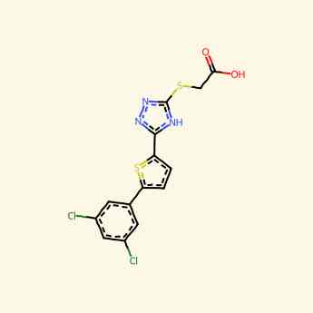 O=C(O)CSc1nnc(-c2ccc(-c3cc(Cl)cc(Cl)c3)s2)[nH]1